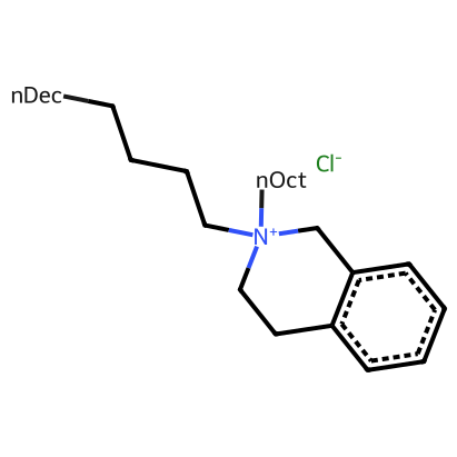 CCCCCCCCCCCCCC[N+]1(CCCCCCCC)CCc2ccccc2C1.[Cl-]